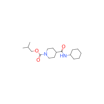 CC(C)COC(=O)N1CCC(C(=O)NC2CCCCC2)CC1